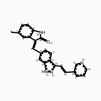 Cc1ccc2c(c1)C(=Cc1ccc3c(/C=C/c4cccnc4)n[nH]c3c1)C(=O)N2